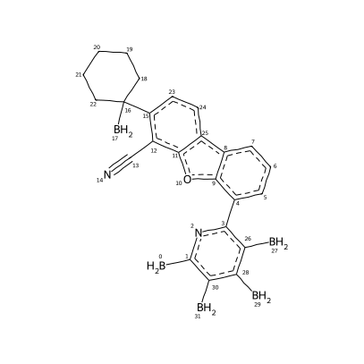 Bc1nc(-c2cccc3c2oc2c(C#N)c(C4(B)CCCCC4)ccc23)c(B)c(B)c1B